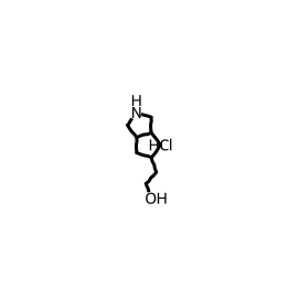 Cl.OCCC1CC2CNCC2C1